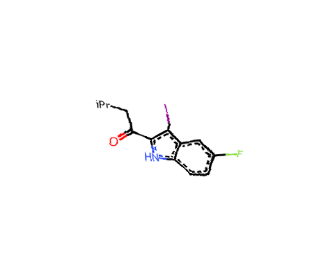 CC(C)CC(=O)c1[nH]c2ccc(F)cc2c1I